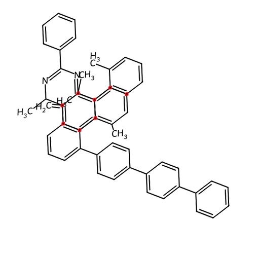 C=Cc1cccc(-c2ccc(-c3ccc(-c4ccccc4)cc3)cc2)c1-c1c(C)cccc1/C(C)=N/C(=N\C(C)c1cccc(-c2ccccc2C)c1C)c1ccccc1